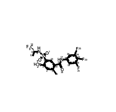 Cc1cc(N)c(S(=O)(=O)N[C@H](C)C(F)(F)F)cc1C(=O)Nc1cc(F)c(F)c(F)c1